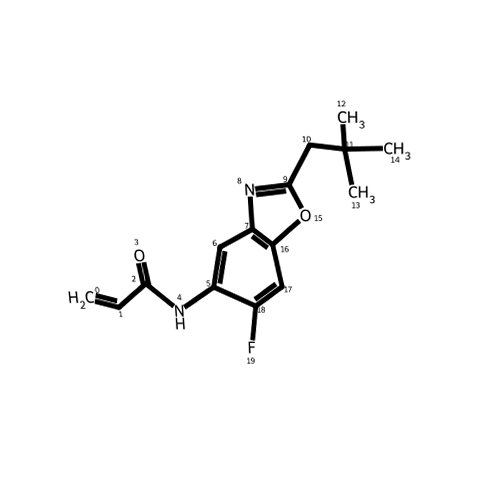 C=CC(=O)Nc1cc2nc(CC(C)(C)C)oc2cc1F